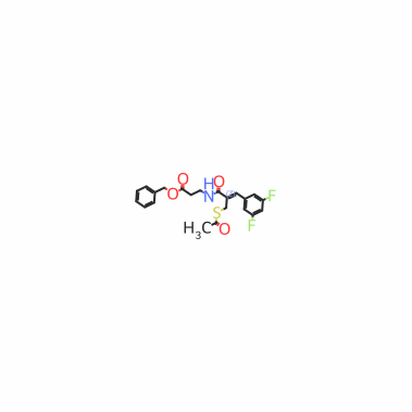 CC(=O)SC/C(=C\c1cc(F)cc(F)c1)C(=O)NCCC(=O)OCc1ccccc1